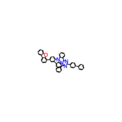 c1ccc(-c2ccc(-c3nc(-c4ccccc4)nc(-c4ccccc4-n4c5ccccc5c5cc(-c6cccc7c6oc6ccccc67)ccc54)n3)cc2)cc1